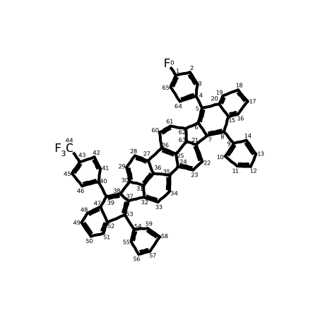 Fc1ccc(-c2c3c(c(-c4ccccc4)c4ccccc24)C2=CC=c4c5c(c6ccc7c8c(ccc4c68)-c4c-7c(-c6ccc(C(F)(F)F)cc6)c6ccccc6c4-c4ccccc4)C=CC3C25)cc1